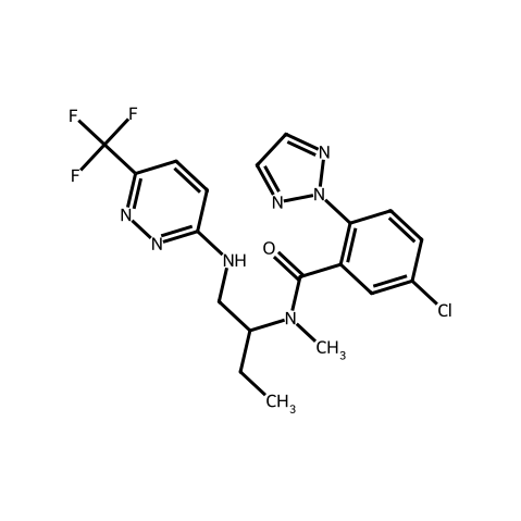 CCC(CNc1ccc(C(F)(F)F)nn1)N(C)C(=O)c1cc(Cl)ccc1-n1nccn1